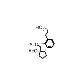 CC(=O)OC[C@]1(OC(C)=O)CCC[C@H]1c1cccc(CCC(=O)O)c1C